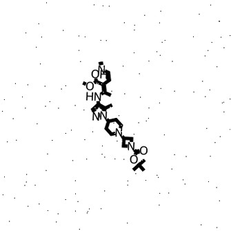 C=N/C=C\C(=C(/C)Nc1cnn(C2CCN(C3CN(C(=O)OC(C)(C)C)C3)CC2)c1C)C(O)OC